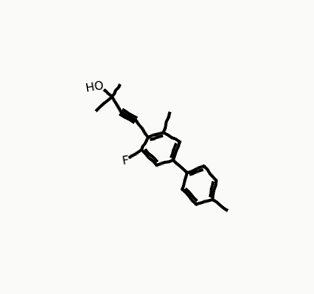 Cc1ccc(-c2cc(C)c(C#CC(C)(C)O)c(F)c2)cc1